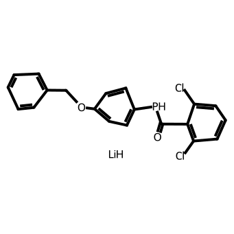 O=C(Pc1ccc(OCc2ccccc2)cc1)c1c(Cl)cccc1Cl.[LiH]